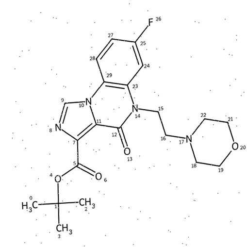 CC(C)(C)OC(=O)c1ncn2c1c(=O)n(CCN1CCOCC1)c1cc(F)ccc12